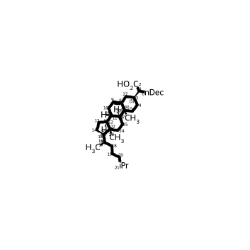 CCCCCCCCCCC(C(=O)O)[C@H]1CC[C@@]2(C)C(=CC[C@H]3[C@@H]4CC[C@H]([C@H](C)CCCC(C)C)[C@@]4(C)CC[C@@H]32)C1